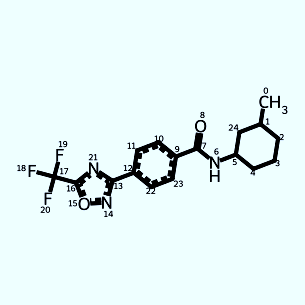 CC1CCCC(NC(=O)c2ccc(-c3noc(C(F)(F)F)n3)cc2)C1